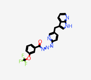 O=C(N=[N+]=Nc1ccc(Cc2c[nH]c3ncccc23)cn1)c1cccc(OC(F)(F)F)c1